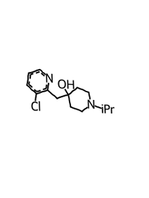 CC(C)N1CCC(O)(Cc2ncccc2Cl)CC1